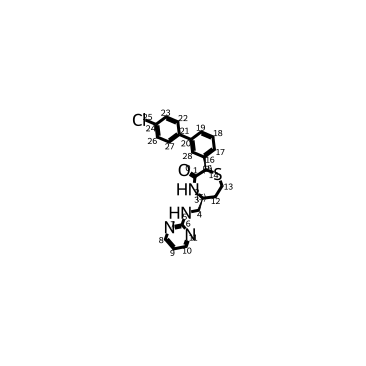 O=C1N[C@H](CNc2ncccn2)CCS[C@@H]1c1cccc(-c2ccc(Cl)cc2)c1